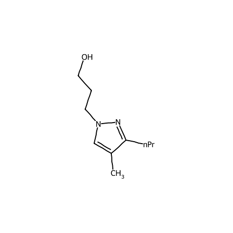 CCCc1nn(CCCO)cc1C